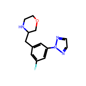 Fc1cc(CC2COCCN2)cc(-n2nccn2)c1